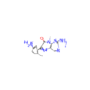 Cc1ccc(N)cc1-c1nc2cnc(N)nc2n(C)c1=O